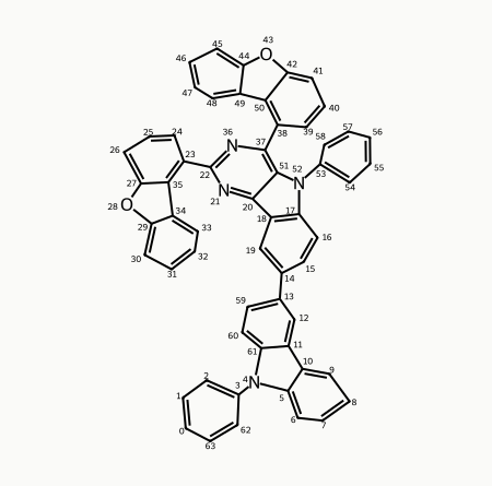 c1ccc(-n2c3ccccc3c3cc(-c4ccc5c(c4)c4nc(-c6cccc7oc8ccccc8c67)nc(-c6cccc7oc8ccccc8c67)c4n5-c4ccccc4)ccc32)cc1